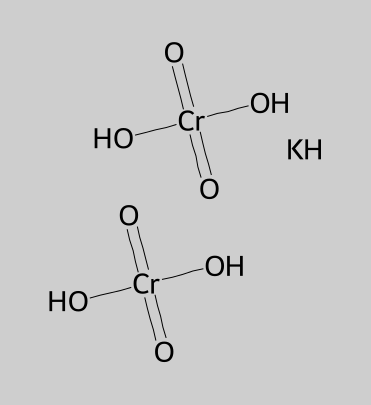 [KH].[O]=[Cr](=[O])([OH])[OH].[O]=[Cr](=[O])([OH])[OH]